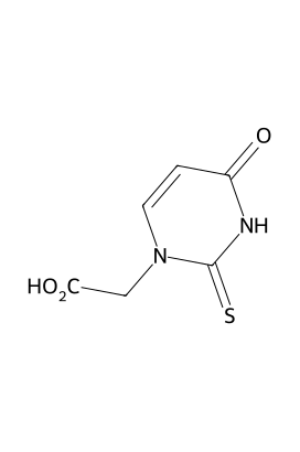 O=C(O)Cn1ccc(=O)[nH]c1=S